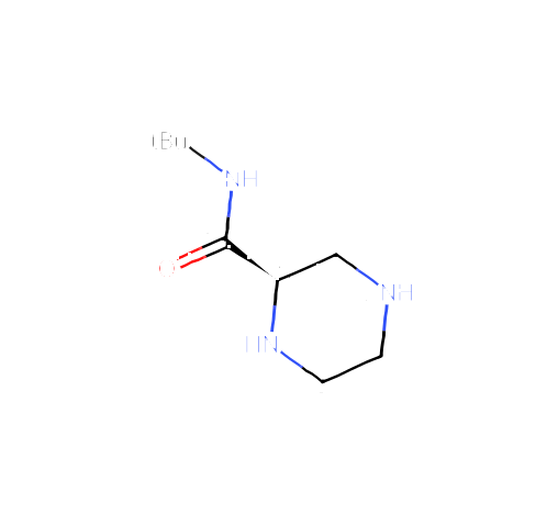 CC(C)(C)NC(=O)[C@H]1CNCCN1